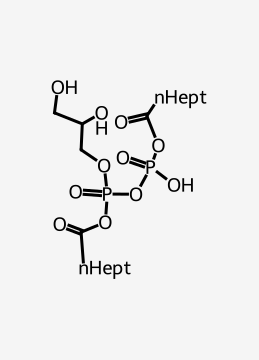 CCCCCCCC(=O)OP(=O)(O)OP(=O)(OCC(O)CO)OC(=O)CCCCCCC